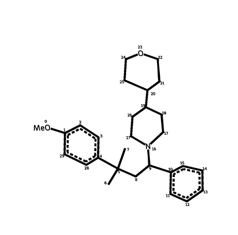 COc1ccc(C(C)(C)CC(c2ccccc2)N2CCC(C3CCOCC3)CC2)cc1